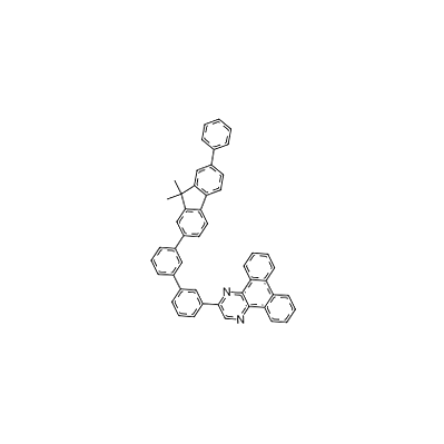 CC1(C)c2cc(-c3ccccc3)ccc2-c2ccc(-c3cccc(-c4cccc(-c5cnc6c7ccccc7c7ccccc7c6n5)c4)c3)cc21